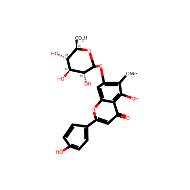 COc1c(OC2O[C@H](C(=O)O)[C@@H](O)[C@H](O)[C@H]2O)cc2oc(-c3ccc(O)cc3)cc(=O)c2c1O